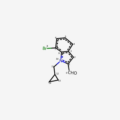 O=Cc1cc2cccc(Br)c2n1CC1CC1